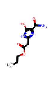 CCCOC(=O)Cc1nc(C(N)=O)c(O)[nH]1